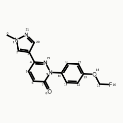 Cn1cc(-c2ccc(=O)n(-c3ccc(OCF)cc3)n2)cn1